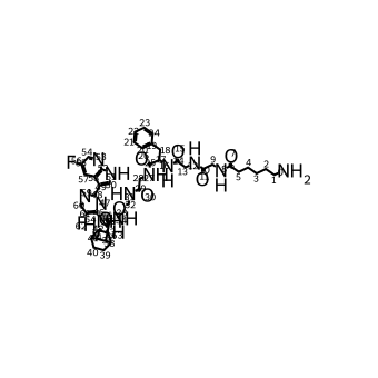 NCCCCCC(=O)NCC(=O)NCC(=O)NC(Cc1ccccc1)C(=O)NCC(=O)NCONC(=O)[C@H]1C2CCC(CC2)[C@@H]1Nc1nc(-c2c[nH]c3ncc(F)cc23)ncc1F